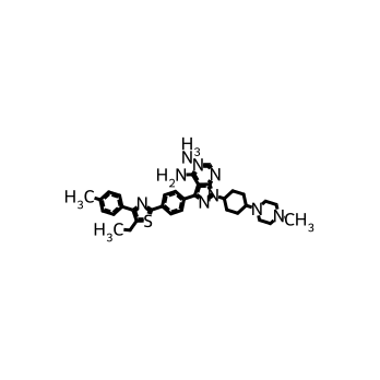 CCc1sc(-c2ccc(-c3nn(C4CCC(N5CCN(C)CC5)CC4)c4ncnc(N)c34)cc2)nc1-c1ccc(C)cc1.N